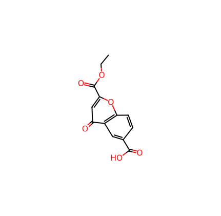 CCOC(=O)c1cc(=O)c2cc(C(=O)O)ccc2o1